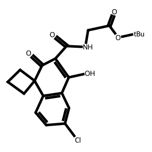 CC(C)(C)OC(=O)CNC(=O)C1=C(O)c2cc(Cl)ccc2C2(CCC2)C1=O